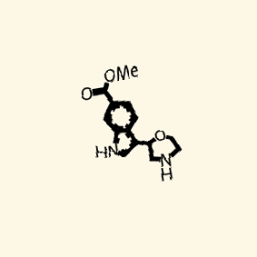 COC(=O)c1ccc2c(C3CNCCO3)c[nH]c2c1